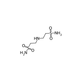 NS(=O)(=O)CCNCCS(N)(=O)=O